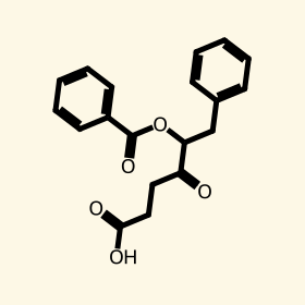 O=C(O)CCC(=O)C(Cc1ccccc1)OC(=O)c1ccccc1